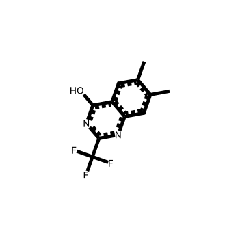 Cc1cc2nc(C(F)(F)F)nc(O)c2cc1C